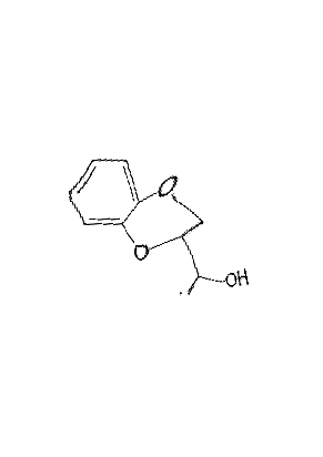 [CH2]C(O)C1COc2ccccc2O1